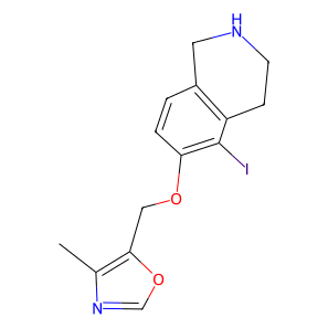 Cc1ncoc1COc1ccc2c(c1I)CCNC2